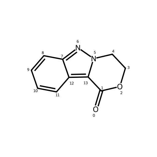 O=C1OCCn2nc3ccccc3c21